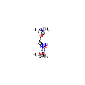 CN(C)c1cccc(OCCCCc2ccc3nc(C(=O)N4CCN(C(=O)OC(C)(C)C)CC4)[nH]c3c2)c1